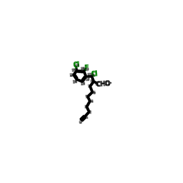 C#CCCCCCCC([C]=O)C(Cl)c1cccc(Cl)c1F